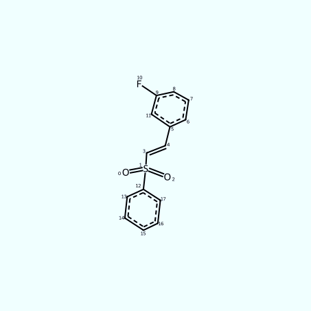 O=S(=O)(/C=C/c1cccc(F)c1)c1ccccc1